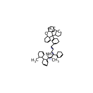 CC(=C(/N)C1=CC=CCC1C1C=CCCC1C)/C(=C/C=C/C1=CCCC(C2(C3CCCCC3C)C3=CCCCC3OC3CCC=CC32)=C1)C1=CC=CCC1